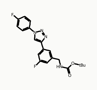 CC(C)(C)OC(=O)NCc1cc(F)cc(-c2cn(-c3ccc(F)cc3)nn2)c1